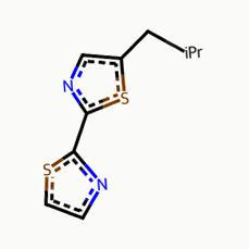 CC(C)Cc1cnc(-c2nccs2)s1